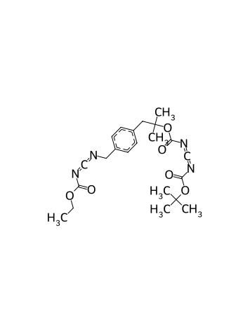 CCOC(=O)N=C=NCc1ccc(CC(C)(C)OC(=O)N=C=NC(=O)OC(C)(C)C)cc1